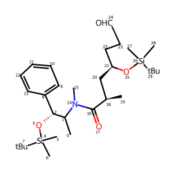 CC([C@H](O[Si](C)(C)C(C)(C)C)c1ccccc1)N(C)C(=O)[C@H](C)C[C@@H](CCC=O)O[Si](C)(C)C(C)(C)C